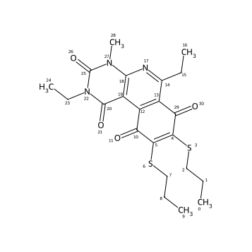 CCCSC1=C(SCCC)C(=O)c2c(c(CC)nc3c2c(=O)n(CC)c(=O)n3C)C1=O